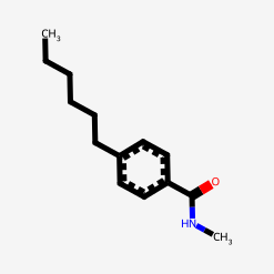 CCCCCCc1ccc(C(=O)NC)cc1